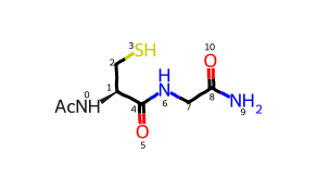 CC(=O)N[C@@H](CS)C(=O)NCC(N)=O